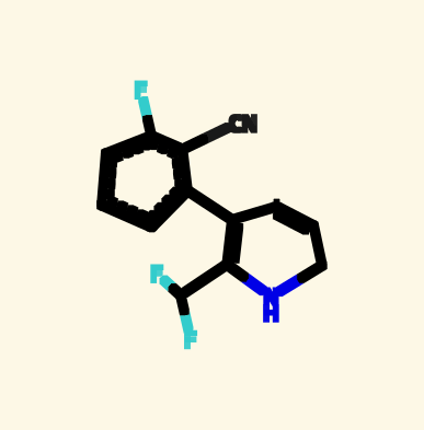 N#Cc1c(F)cccc1C1=C(C(F)F)NCC=[C]1